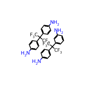 Nc1ccc(C(c2ccc(N)cc2)(C(F)(F)F)C(F)(F)F)cc1.Nc1ccc(C(c2cccc(N)c2)(C(F)(F)F)C(F)(F)F)cc1